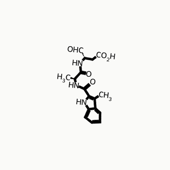 Cc1c(C(=O)N[C@@H](C)C(=O)N[C@H](C=O)CC(=O)O)[nH]c2ccccc12